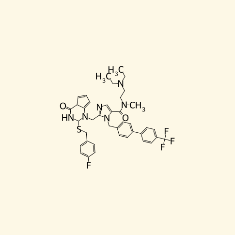 CCN(CC)CCN(C)C(=O)c1cnc(CN2C3=CC=CC3C(=O)NC2SCc2ccc(F)cc2)n1Cc1ccc(-c2ccc(C(F)(F)F)cc2)cc1